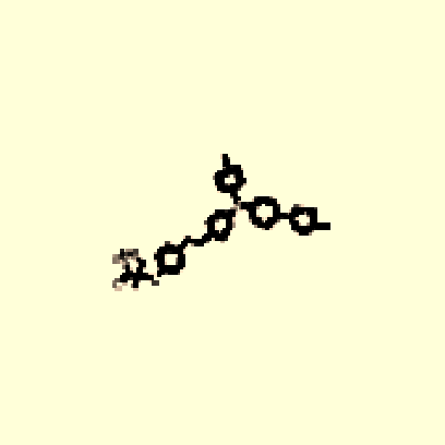 Cc1ccc(-c2ccc(N(c3ccc(C)cc3)c3ccc(CCc4ccc(OC(C)(CO)C(=O)C(C)C)cc4)cc3)cc2)cc1